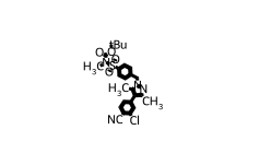 Cc1nn(Cc2ccc(S(=O)(=O)N(C)C(=O)OC(C)(C)C)cc2)c(C)c1-c1ccc(C#N)c(Cl)c1